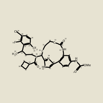 COC(=O)Nc1ccc2c(c1)NC(=O)CCCCC(N(CCC(C)c1c(C(F)(F)F)ccc(Cl)c1F)C(=O)C1CCC1)c1nc-2c[nH]1